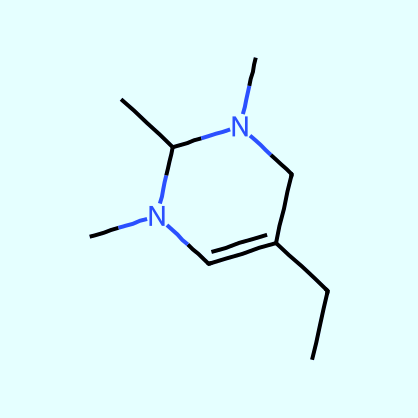 CCC1=CN(C)C(C)N(C)C1